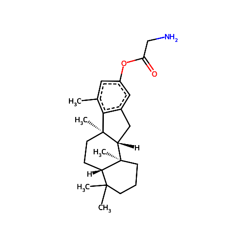 Cc1cc(OC(=O)CN)cc2c1[C@]1(C)CC[C@H]3C(C)(C)CCC[C@]3(C)[C@H]1C2